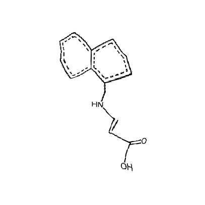 O=C(O)C=CNc1cccc2ccccc12